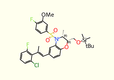 COc1cc(S(=O)(=O)N2c3cc(C=C(C)c4c(F)cccc4Cl)ccc3O[C@@H](CO[Si](C)(C)C(C)(C)C)[C@H]2C)ccc1F